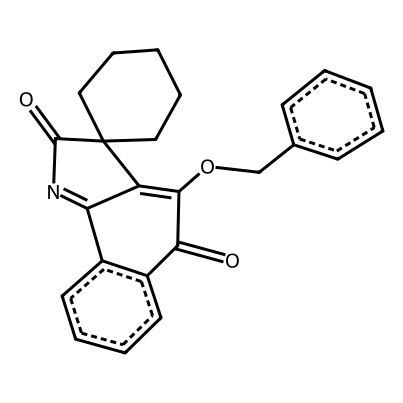 O=C1C(OCc2ccccc2)=C2C(=NC(=O)C23CCCCC3)c2ccccc21